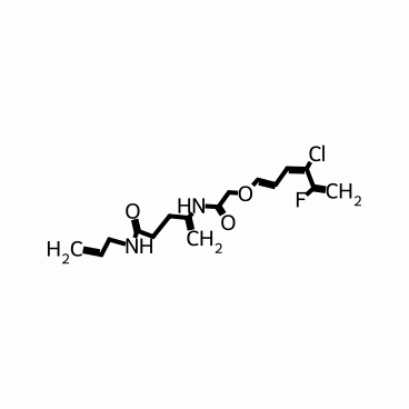 C=CCNC(=O)CCC(=C)NC(=O)CO/C=C/C=C(/Cl)C(=C)F